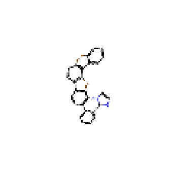 c1ccc2c(c1)sc1ccc3c4ccc5c6ccccc6c6nccn6c5c4sc3c12